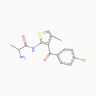 Cc1csc(NC(=O)C(C)N)c1C(=O)c1ccc(Cl)cc1